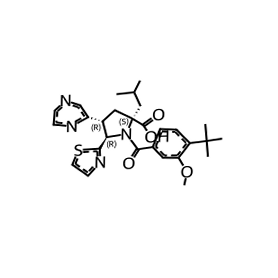 COc1cc(C(=O)N2[C@@H](c3nccs3)[C@H](c3cnccn3)C[C@@]2(CC(C)C)C(=O)O)ccc1C(C)(C)C